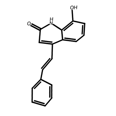 O=c1cc(C=Cc2ccccc2)c2cccc(O)c2[nH]1